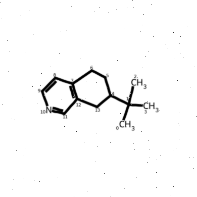 CC(C)(C)C1CCc2ccncc2C1